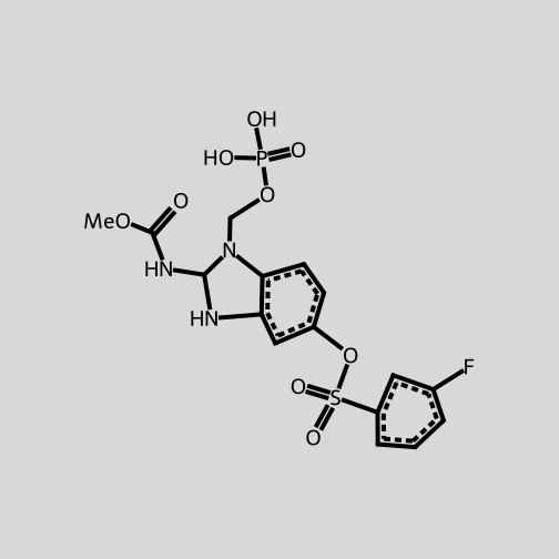 COC(=O)NC1Nc2cc(OS(=O)(=O)c3cccc(F)c3)ccc2N1COP(=O)(O)O